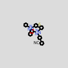 N#Cc1ccccc1-c1ccc(-c2nc(-c3ccccc3)nc(-c3cccc4sc5ccc(-c6nc(-c7ccccc7)nc(-c7ccccc7)n6)cc5c34)n2)cc1